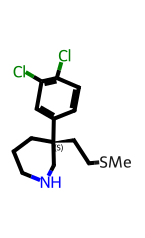 CSCC[C@]1(c2ccc(Cl)c(Cl)c2)CCCNC1